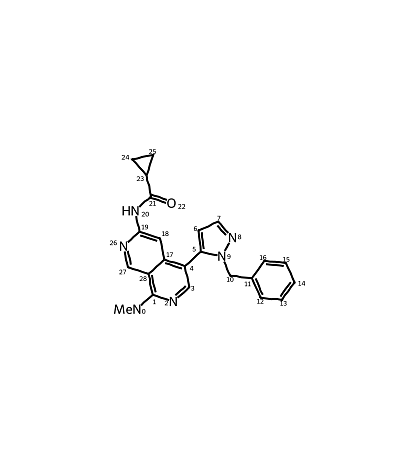 CNc1ncc(-c2ccnn2Cc2ccccc2)c2cc(NC(=O)C3CC3)ncc12